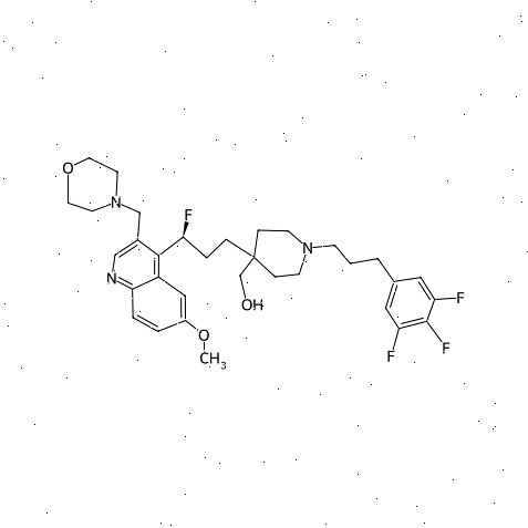 COc1ccc2ncc(CN3CCOCC3)c([C@@H](F)CCC3(CO)CCN(CCCc4cc(F)c(F)c(F)c4)CC3)c2c1